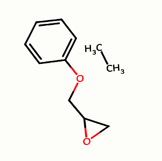 CC.c1ccc(OCC2CO2)cc1